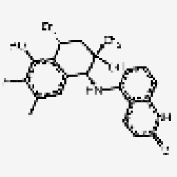 CC[C@@H]1C[C@@](O)(C(F)(F)F)[C@@H](Nc2cccc3[nH]c(=O)ccc23)c2cc(C)c(F)c(O)c21